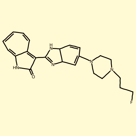 O=c1[nH]c2cccccc-2c1C1=NC2C=C(N3CCN(CCCF)CC3)C=CC2N1